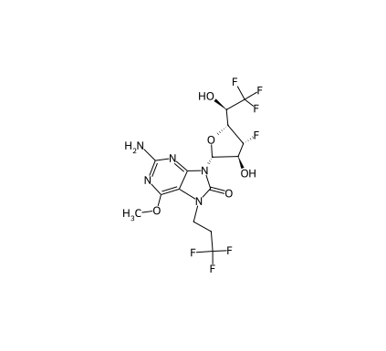 COc1nc(N)nc2c1n(CCC(F)(F)F)c(=O)n2[C@@H]1O[C@H]([C@@H](O)C(F)(F)F)[C@H](F)[C@H]1O